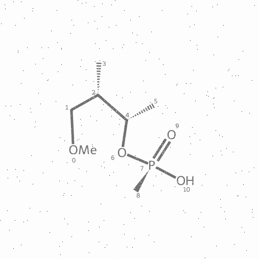 COC[C@H](C)[C@H](C)O[P@](C)(=O)O